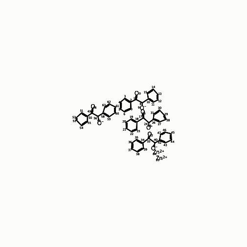 O=C(c1ccccc1)C([O-])c1ccccc1.O=C(c1ccccc1)C([O-])c1ccccc1.O=C(c1ccccc1)C([O-])c1ccccc1.O=C(c1ccccc1)C([O-])c1ccccc1.[Zn+2].[Zn+2]